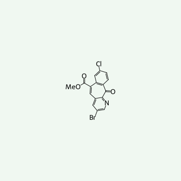 COC(=O)c1cc2cc(Br)cnc2c(=O)c2ccc(Cl)cc12